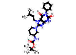 CC(C)=CCn1c(N2CCCC(NC(=O)OC(C)(C)C)C2)nc2[nH]c(=O)n(-c3ccccc3)c(=O)c21